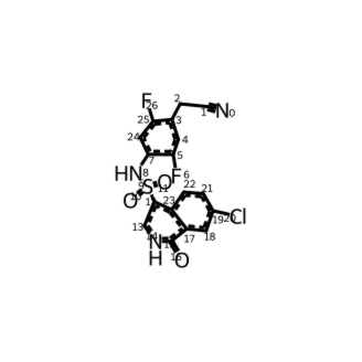 N#CCc1cc(F)c(NS(=O)(=O)c2c[nH]c(=O)c3cc(Cl)ccc23)cc1F